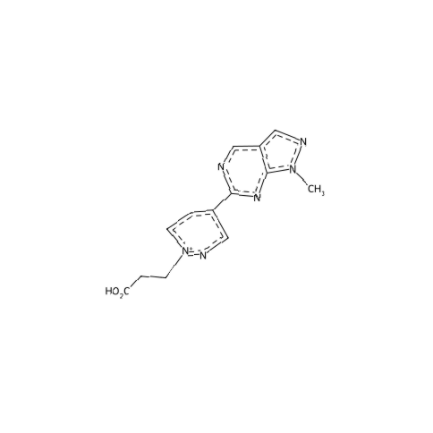 Cn1ncc2cnc(-c3cc[n+](CCC(=O)O)nc3)nc21